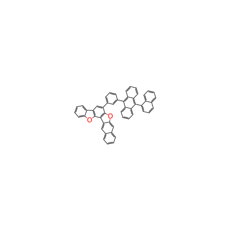 c1cc(-c2c3ccccc3c(-c3cccc4ccccc34)c3ccccc23)cc(-c2cc3c4ccccc4oc3c3c2oc2cc4ccccc4cc23)c1